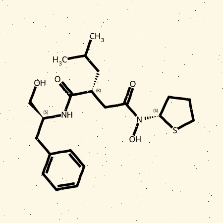 CC(C)C[C@H](CC(=O)N(O)[C@@H]1CCCS1)C(=O)N[C@H](CO)Cc1ccccc1